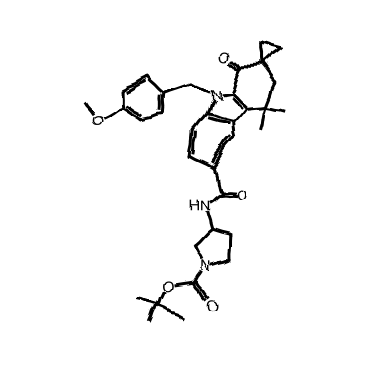 COc1ccc(Cn2c3c(c4cc(C(=O)NC5CCN(C(=O)OC(C)(C)C)C5)ccc42)C(C)(C)CC2(CC2)C3=O)cc1